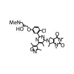 CNC[C@@H](O)COc1ccc(Cl)c(-c2nc(-c3c(C)noc3C)c(C)c(N3Cc4c(n(C)c(=O)n(C)c4=O)C3C)n2)c1